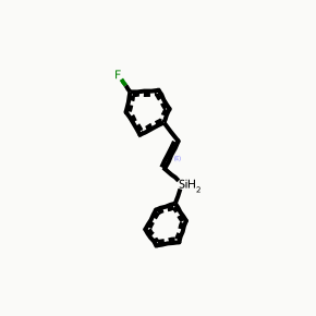 Fc1ccc(/C=C/[SiH2]c2ccccc2)cc1